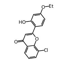 CCOc1ccc(-c2cc(=O)c3cccc(Cl)c3o2)c(O)c1